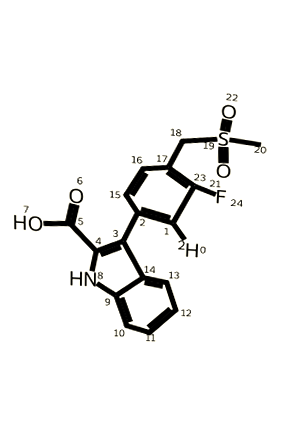 [2H]c1c(-c2c(C(=O)O)[nH]c3ccccc23)ccc(CS(C)(=O)=O)c1F